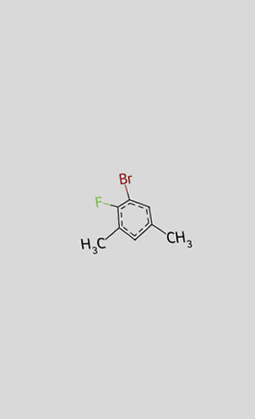 Cc1cc(C)c(F)c(Br)c1